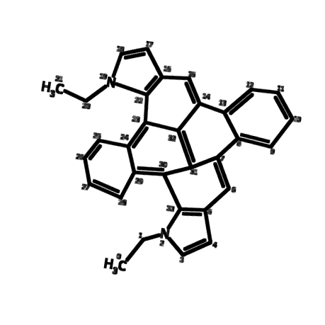 CCn1ccc2cc3c4ccccc4c4cc5ccn(CC)c5c5c6ccccc6c(c3c45)c21